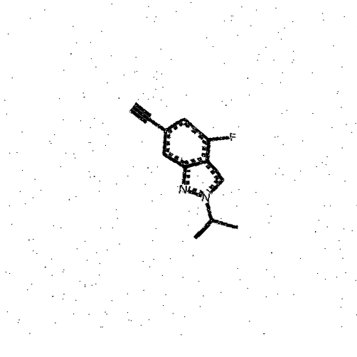 C#Cc1cc(F)c2cn(C(C)C)nc2c1